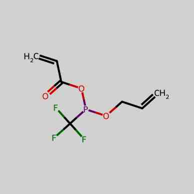 C=CCOP(OC(=O)C=C)C(F)(F)F